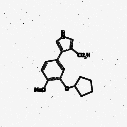 COc1ccc(-c2c[nH]cc2C(=O)O)cc1OC1CCCC1